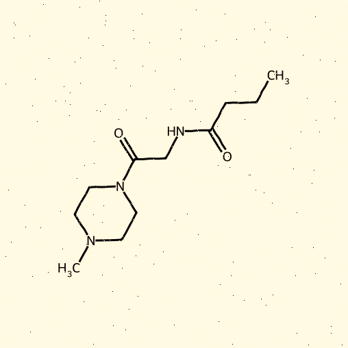 CCCC(=O)NCC(=O)N1CCN(C)CC1